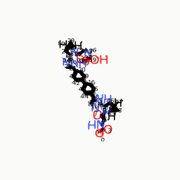 COC(=O)NCC(=O)N1[C@H](c2ncc(-c3ccc(-c4ccc(-c5cnc([C@@H]6C[C@@H]7C[C@@H]7N6C(=O)CN(C)C(=O)O)[nH]5)cc4)cc3)[nH]2)C[C@@H]2C[C@@H]21